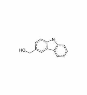 OCc1ccc2c(c1)-c1ccccc1[N]2